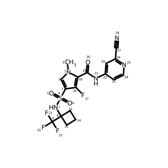 Cn1cc(S(=O)(=O)NC2(C(F)(F)F)CCC2)c(F)c1C(=O)Nc1ccnc(C#N)c1